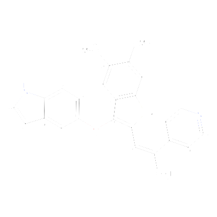 COc1cc2sc(C=C(C(=O)O)c3ccncc3)c(Oc3ccc4[nH]ccc4c3)c2cc1OC